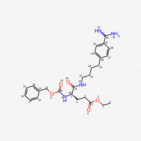 CCOC(=O)CC[C@@H](NC(=O)OCc1ccccc1)C(=O)NCCCCc1ccc(C(=N)N)cc1